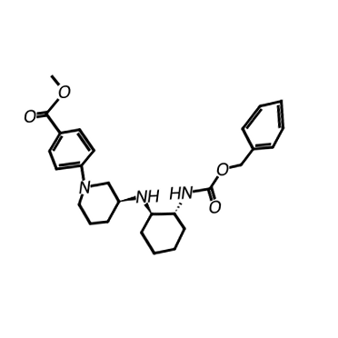 COC(=O)c1ccc(N2CCC[C@H](N[C@@H]3CCCC[C@H]3NC(=O)OCc3ccccc3)C2)cc1